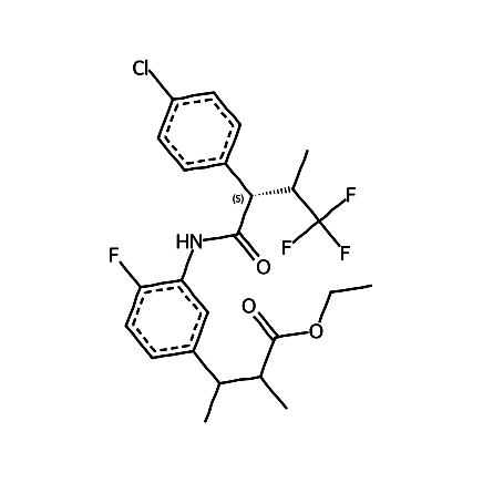 CCOC(=O)C(C)C(C)c1ccc(F)c(NC(=O)[C@H](c2ccc(Cl)cc2)C(C)C(F)(F)F)c1